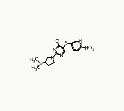 CN(C)C1CCN(c2ncc(Sc3ccc([N+](=O)[O-])nc3)c(Cl)n2)C1